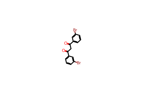 O=C(CC(=O)c1cccc(Br)c1)c1cccc(Br)c1